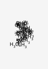 CC(C)c1nc(CN(C)C(=O)N[C@H](C(=O)N[C@@H](Cc2ccccc2)C[C@H](OCOP(=O)(O)O)[C@H](Cc2ccccc2)NC(=O)OCc2nccs2)C(C)C)cs1